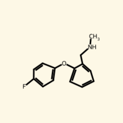 CNCc1ccccc1Oc1ccc(F)cc1